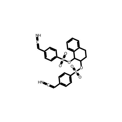 N=C=Cc1ccc(S(=O)(=O)OC2CCc3ccccc3C2OS(=O)(=O)c2ccc(C=C=N)cc2)cc1